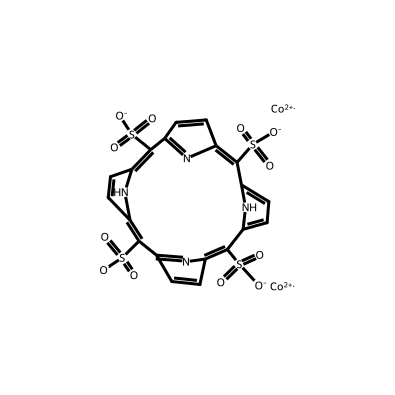 O=S(=O)([O-])c1c2nc(c(S(=O)(=O)[O-])c3ccc([nH]3)c(S(=O)(=O)[O-])c3nc(c(S(=O)(=O)[O-])c4ccc1[nH]4)C=C3)C=C2.[Co+2].[Co+2]